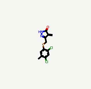 C=C1C(=O)NN=C1CSc1cc(C)c(Cl)cc1Cl